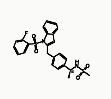 C[C@H](NS(C)(=O)=O)c1ccc(Cc2cc3ccccc3n2S(=O)(=O)c2ccccc2F)cc1